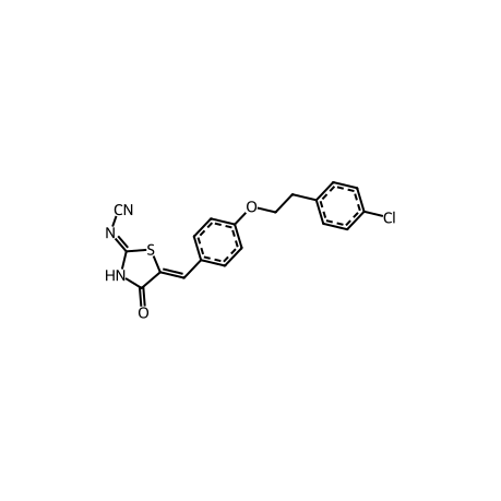 N#CN=C1NC(=O)C(=Cc2ccc(OCCc3ccc(Cl)cc3)cc2)S1